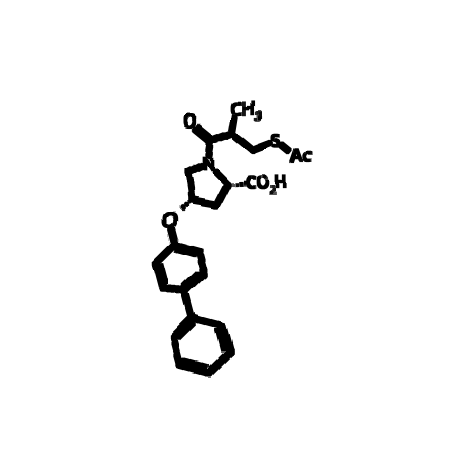 CC(=O)SCC(C)C(=O)N1C[C@@H](Oc2ccc(-c3ccccc3)cc2)C[C@H]1C(=O)O